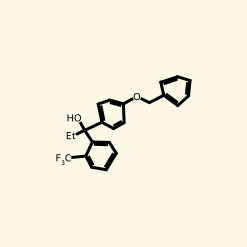 CCC(O)(c1ccc(OCc2ccccc2)cc1)c1ccccc1C(F)(F)F